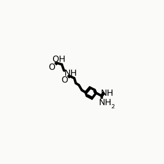 N=C(N)c1ccc(CCCCC(=O)NCCC(=O)O)cc1